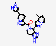 Cc1cccn2nc([C@H]3c4nc[nH]c4CCN3C(=O)c3cnn4cc(-c5cnn(C)c5)ccc34)cc12